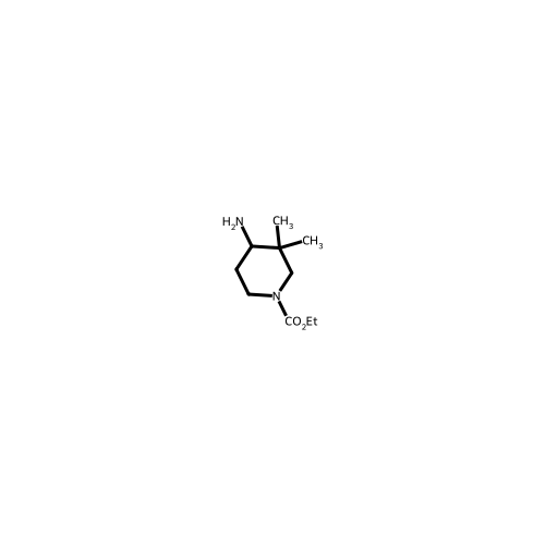 CCOC(=O)N1CCC(N)C(C)(C)C1